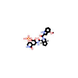 COc1cccc2[nH]c(C(=O)N3C[C@@H]4CCC[C@@H]4[C@H]3C(=O)NC(CC3CCCNC3=O)C(=O)COP(=O)(O)O)cc12